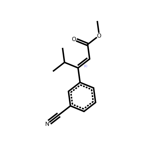 COC(=O)/C=C(/c1cccc(C#N)c1)C(C)C